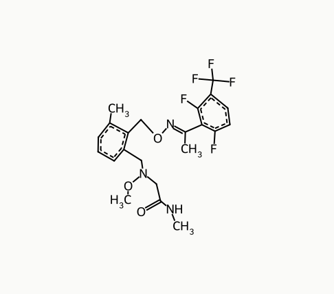 CNC(=O)CN(Cc1cccc(C)c1CO/N=C(\C)c1c(F)ccc(C(F)(F)F)c1F)OC